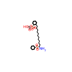 NC(CCCCCCCCCCCc1ccccc1S(=O)(=O)[O][Ti](=[O])[OH])S(=O)(=O)c1ccccc1